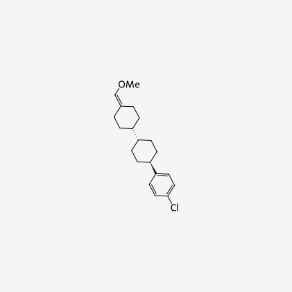 COC=C1CCC([C@H]2CC[C@H](c3ccc(Cl)cc3)CC2)CC1